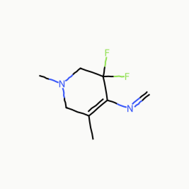 C=NC1=C(C)CN(C)CC1(F)F